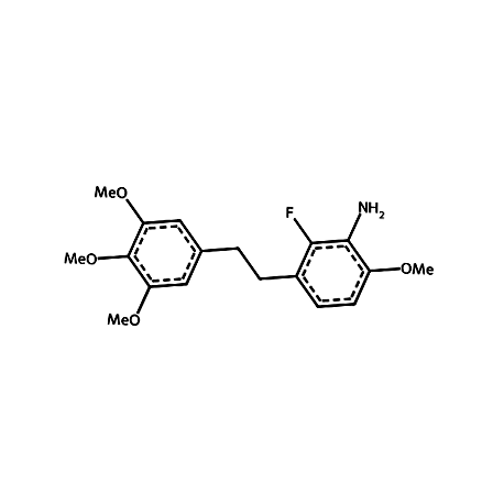 COc1ccc(CCc2cc(OC)c(OC)c(OC)c2)c(F)c1N